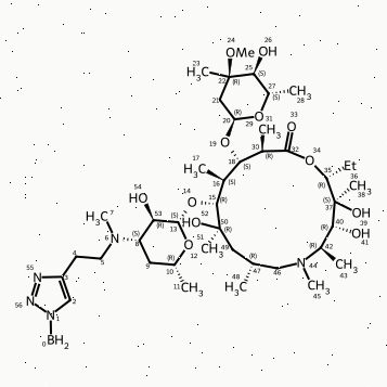 Bn1cc(CCN(C)[C@H]2C[C@@H](C)O[C@@H](O[C@@H]3[C@@H](C)[C@H](O[C@H]4C[C@@](C)(OC)[C@@H](O)[C@H](C)O4)[C@@H](C)C(=O)O[C@H](CC)[C@@](C)(O)[C@H](O)[C@@H](C)N(C)C[C@H](C)C[C@@]3(C)O)[C@@H]2O)nn1